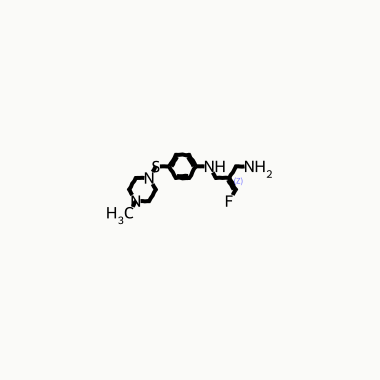 CN1CCN(Sc2ccc(NC/C(=C\F)CN)cc2)CC1